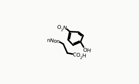 CCCCCCCCCCCC(=O)O.O=[N+]([O-])c1ccc(O)cc1